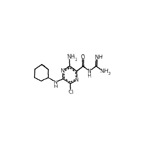 N=C(N)NC(=O)c1nc(Cl)c(NC2CCCCC2)nc1N